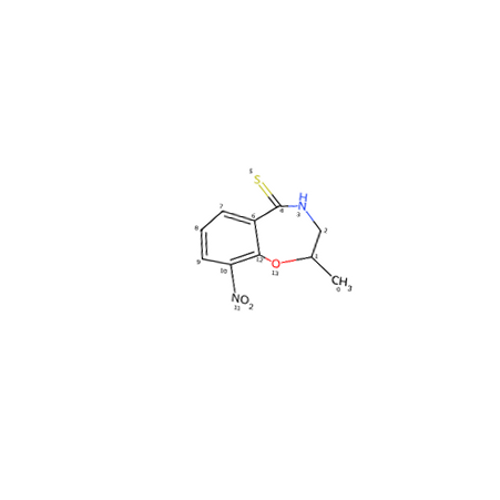 CC1CNC(=S)c2cccc([N+](=O)[O-])c2O1